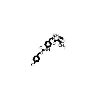 Cc1ocnc1C(=O)N(C)Cc1ccc(NC(=O)OCc2ccc(Cl)cc2)cc1